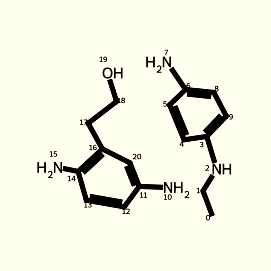 CCNc1ccc(N)cc1.Nc1ccc(N)c(CCO)c1